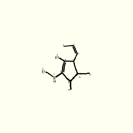 C/C=C\C1C(CC)=C(BCC)C(C)C1C